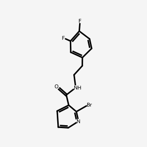 O=C(NCCc1ccc(F)c(F)c1)c1cccnc1Br